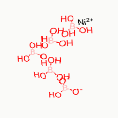 OB(O)O.OB(O)O.OB(O)O.OB(O)O.[Ni+2].[O-]B([O-])O